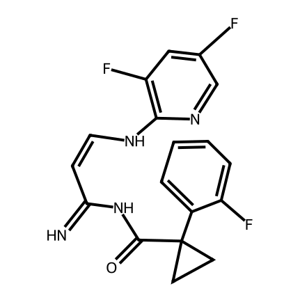 N=C(/C=C\Nc1ncc(F)cc1F)NC(=O)C1(c2ccccc2F)CC1